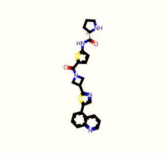 O=C(Nc1ccc(C(=O)N2CC(c3ncc(-c4cccc5ncccc45)s3)C2)s1)[C@@H]1CCCN1